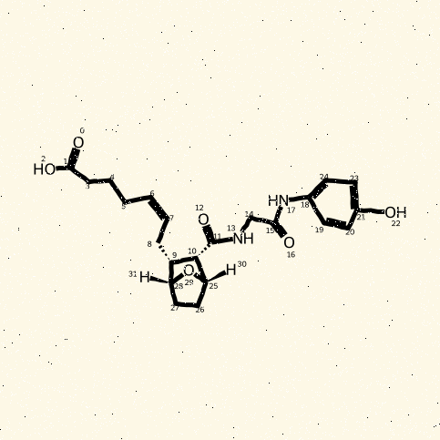 O=C(O)CCC/C=C\C[C@@H]1[C@H](C(=O)NCC(=O)Nc2ccc(O)cc2)[C@@H]2CC[C@H]1O2